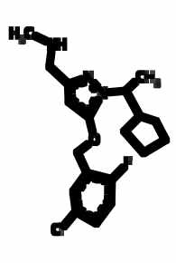 CNCc1cc(OCc2cc(Cl)ccc2F)n(C(C)C2CCCC2)n1